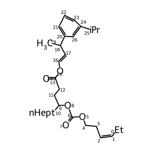 CC/C=C\CCOC(=O)OC(CCCCCCC)CCC(=O)OC=CC(C)c1cccc(C(C)C)c1